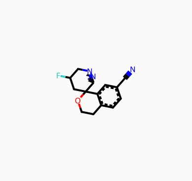 N#Cc1ccc2c(c1)C1(CC(F)Cn3cncc31)OCC2